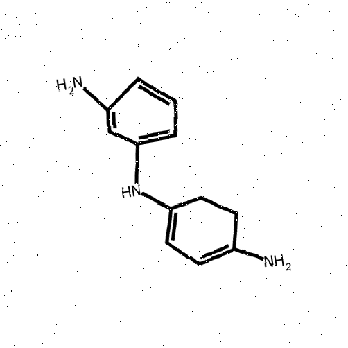 NC1=CC=C(Nc2cccc(N)c2)CC1